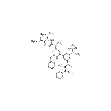 CCNC(=O)[C@@H](NC(=O)[C@H](C)NC[C@H](Cc1ccccc1)NC(=O)c1cc(C(=O)N(C)[C@H](C)c2ccccc2)cc(N(C)S(C)(=O)=O)c1)C(C)C